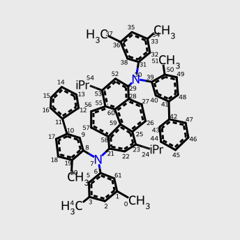 Cc1cc(C)cc(N(c2cc(-c3ccccc3)ccc2C)c2cc(C(C)C)c3ccc4c(N(c5cc(C)cc(C)c5)c5cc(-c6ccccc6)ccc5C)cc(C(C)C)c5ccc2c3c54)c1